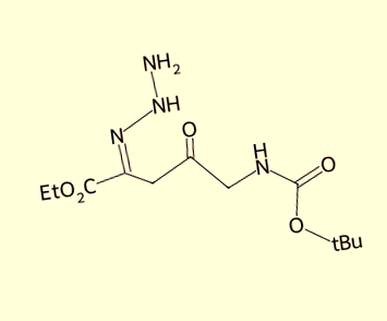 CCOC(=O)C(CC(=O)CNC(=O)OC(C)(C)C)=NNN